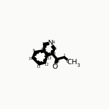 CCC(=O)c1cncc2ccccc12